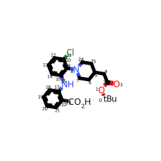 CC(C)(C)OC(=O)CC1CCN(c2c(Cl)cccc2Nc2ccccc2C(=O)O)CC1